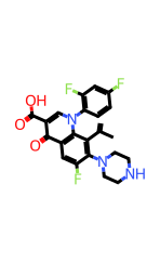 C=C(C)c1c(N2CCNCC2)c(F)cc2c(=O)c(C(=O)O)cn(-c3ccc(F)cc3F)c12